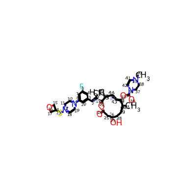 C/C(=C\c1cc(F)cc(N2CCN(SC3COC3)CC2)c1)[C@H]1OC(=O)C[C@H](O)CC[C@H](C)[C@@H](OC(=O)N2CCN(C)CC2)/C=C/[C@@H]1C